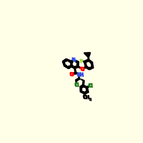 Cc1ccc(C[C@H](CCl)NC(=O)c2c(Oc3cccc(C4CC4)c3F)cnc3ccccc23)c(Cl)c1